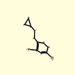 CCC1=CC(F)=C(CCC2CC2)CC1